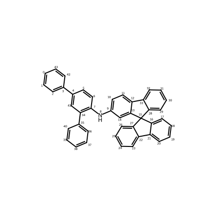 c1ccc(-c2ccc(Nc3ccc4c(c3)C3(c5ccccc5-c5ccccc53)c3ccccc3-4)c(-c3ccccc3)c2)cc1